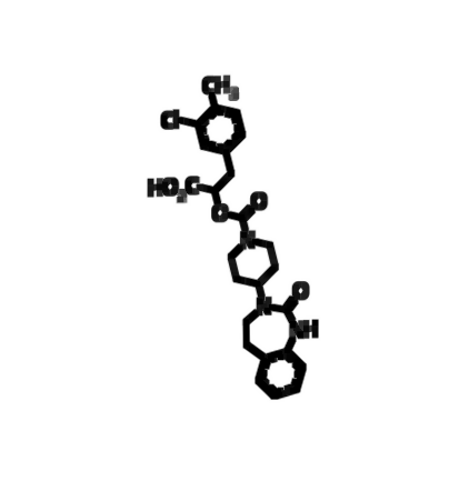 Cc1ccc(CC(OC(=O)N2CCC(N3CCc4ccccc4NC3=O)CC2)C(=O)O)cc1Cl